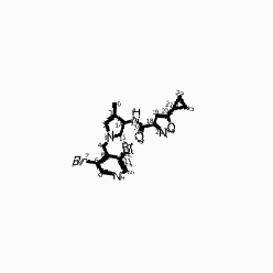 CC1CN(Cc2c(Br)cncc2Br)CC1NC(=O)c1cc(C2CC2)on1